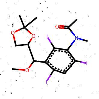 COC(c1c(I)cc(I)c(N(C)C(C)=O)c1I)C1COC(C)(C)O1